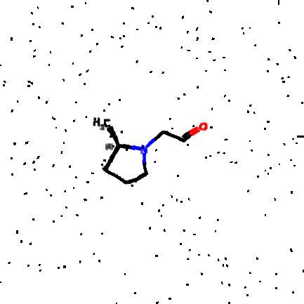 C[C@@H]1CCCN1CC=O